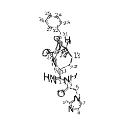 N=C(NC(=O)Cn1ccnc1)[C@@H]1CC[C@@H]2CN1C(=O)N2OCc1ccccc1